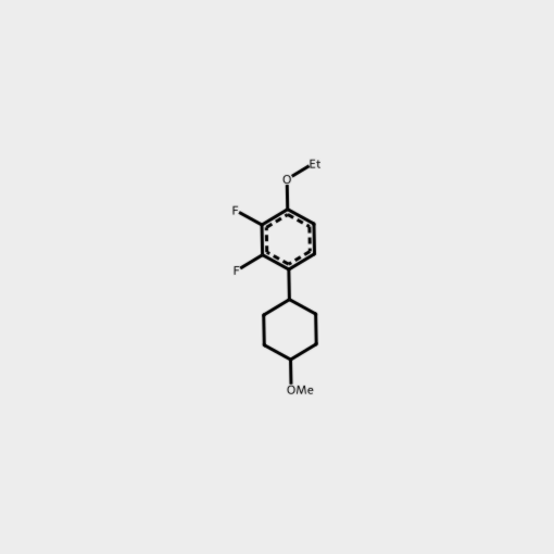 CCOc1ccc(C2CCC(OC)CC2)c(F)c1F